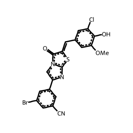 COc1cc(/C=c2\sc3nc(-c4cc(Br)cc(C#N)c4)cn3c2=O)cc(Cl)c1O